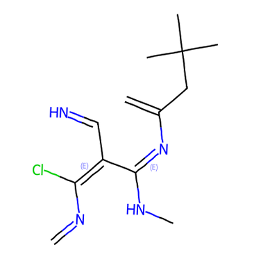 C=N/C(Cl)=C(C=N)\C(=N/C(=C)CC(C)(C)C)NC